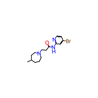 CC1CCCN(CCC(=O)Nc2cc(Br)ccn2)CC1